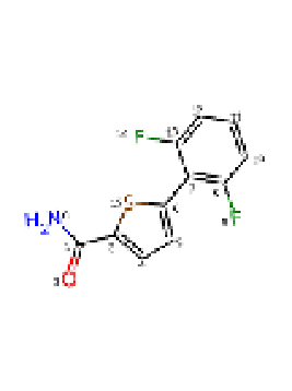 NC(=O)c1ccc(-c2c(F)cccc2F)s1